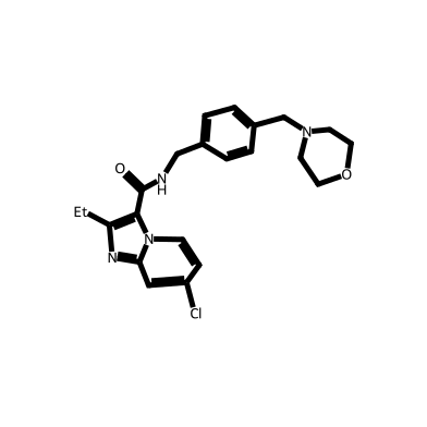 CCc1nc2cc(Cl)ccn2c1C(=O)NCc1ccc(CN2CCOCC2)cc1